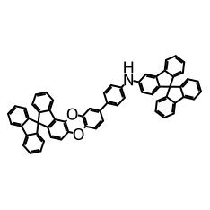 c1ccc2c(c1)-c1ccccc1C21c2ccccc2-c2cc(Nc3ccc(-c4ccc5c(c4)Oc4c(ccc6c4-c4ccccc4C64c6ccccc6-c6ccccc64)O5)cc3)ccc21